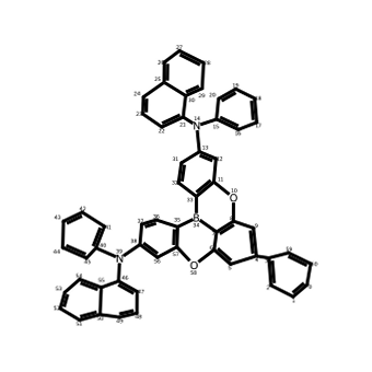 c1ccc(-c2cc3c4c(c2)Oc2cc(N(c5ccccc5)c5cccc6ccccc56)ccc2B4c2ccc(N(c4ccccc4)c4cccc5ccccc45)cc2O3)cc1